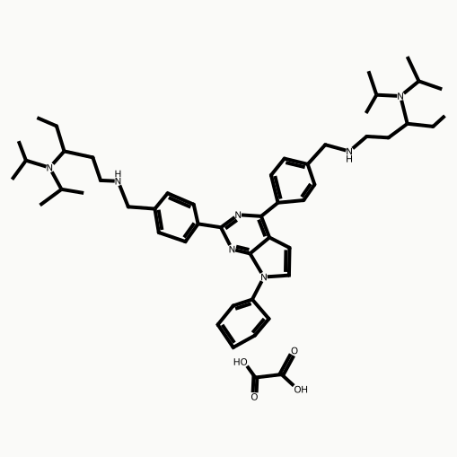 CCC(CCNCc1ccc(-c2nc(-c3ccc(CNCCC(CC)N(C(C)C)C(C)C)cc3)c3ccn(-c4ccccc4)c3n2)cc1)N(C(C)C)C(C)C.O=C(O)C(=O)O